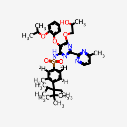 [2H]c1c([2H])c(S(=O)(=O)Nc2nc(-c3nccc(C)n3)nc(OCC(C)O)c2Oc2ccccc2OC(C)C)c([2H])c(C)c1C(CC)(C(C)C)C(C)(C)C